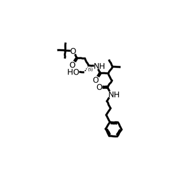 CC(C)C(CC(=O)NCCCc1ccccc1)C(=O)N[C@H](CO)CC(=O)OC(C)(C)C